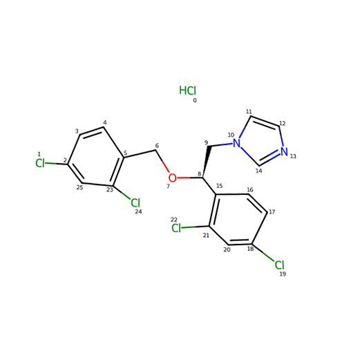 Cl.Clc1ccc(CO[C@@H](Cn2ccnc2)c2ccc(Cl)cc2Cl)c(Cl)c1